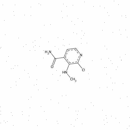 CNc1c(C(N)=O)ccnc1Cl